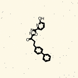 O=C(CCc1ccc(-c2ccccc2)cc1)c1nnc(-c2cccc(O)n2)o1